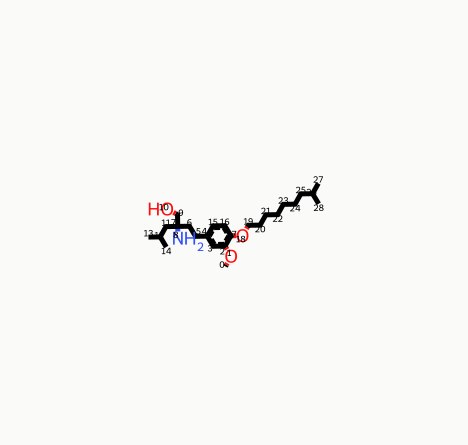 COc1cc(CCC(N)(CO)CC(C)C)ccc1OCCCCCCCC(C)C